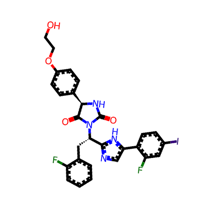 O=C1N[C@H](c2ccc(OCCO)cc2)C(=O)N1[C@@H](Cc1ccccc1F)c1ncc(-c2ccc(I)cc2F)[nH]1